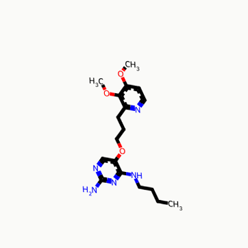 CCCCNc1nc(N)ncc1OCCCc1nccc(OC)c1OC